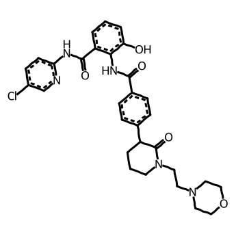 O=C(Nc1c(O)cccc1C(=O)Nc1ccc(Cl)cn1)c1ccc(C2CCCN(CCN3CCOCC3)C2=O)cc1